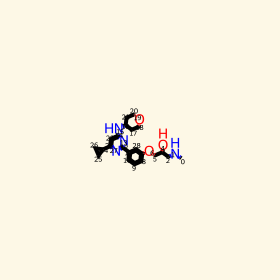 CNCC(O)COc1cccc(-c2nc(NC3CCOCC3)cc(C3CC3)n2)c1